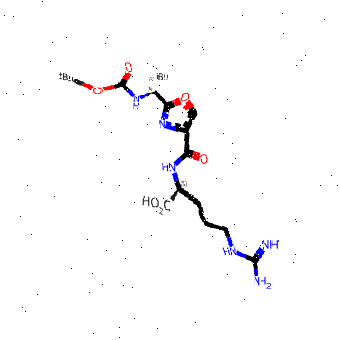 CC[C@H](C)[C@H](NC(=O)OC(C)(C)C)c1nc(C(=O)N[C@@H](CCCNC(=N)N)C(=O)O)co1